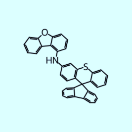 c1ccc2c(c1)Sc1cc(Nc3cccc4oc5ccccc5c34)ccc1C21c2ccccc2-c2ccccc21